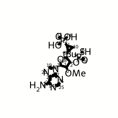 COC1[C@@H](OP(=O)(S)C(C)(C)C)[C@@H](C2CC2P(=O)(O)O)O[C@H]1n1cnc2c(N)ncnc21